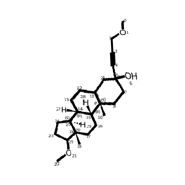 COCC#CC1(O)CC[C@@]2(C)C(CC[C@@H]3[C@H]2CC[C@]2(C)C(OC)CC[C@@H]32)C1